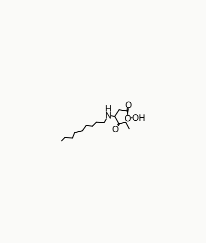 CCCCCCCCCNC(CC(=O)OO)C(=O)CC